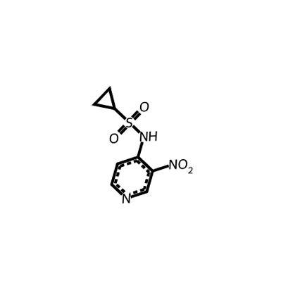 O=[N+]([O-])c1cnccc1NS(=O)(=O)C1CC1